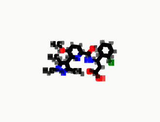 COc1ccc(C(=O)NC(CC(=O)O)c2ccccc2Cl)nc1-c1c(C)nn(C)c1C